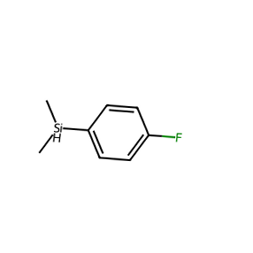 C[SiH](C)c1ccc(F)cc1